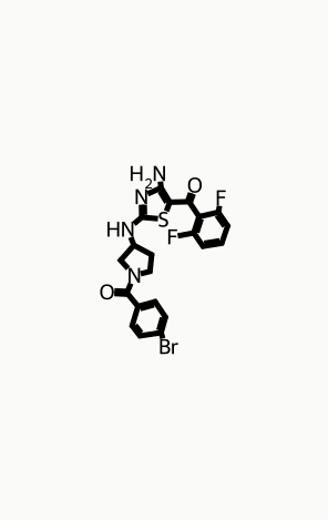 Nc1nc(NC2CCN(C(=O)c3ccc(Br)cc3)C2)sc1C(=O)c1c(F)cccc1F